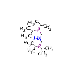 CC(C)P(CNCP(C(C)C)C(C)C)C(C)C